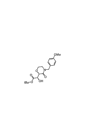 COc1ccc(CN2CCO[C@H]([C@@H](O)C(=O)OC(C)(C)C)C2=O)cc1